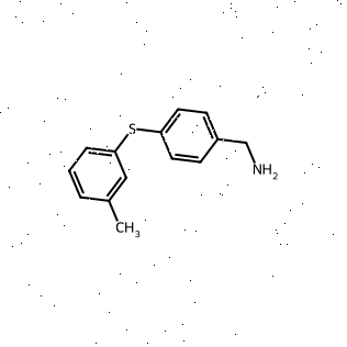 Cc1cccc(Sc2ccc(CN)cc2)c1